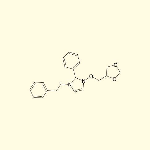 C1=CN(OCC2COCO2)C(c2ccccc2)N1CCc1ccccc1